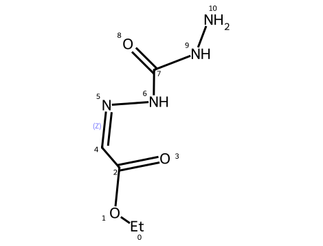 CCOC(=O)/C=N\NC(=O)NN